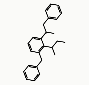 CCC(C)c1c(Cc2ccccc2)cccc1[C](C)Cc1ccccc1